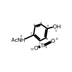 CC(=O)Nc1ccc(O)cc1.[O]=[Ti]=[O]